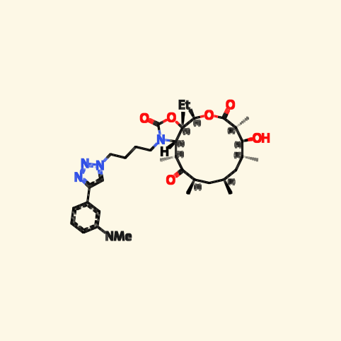 CC[C@H]1OC(=O)[C@H](C)[C@@H](O)[C@H](C)C[C@@H](C)C[C@@H](C)C(=O)[C@H](C)[C@@H]2N(CCCCn3cc(-c4cccc(NC)c4)nn3)C(=O)O[C@@]21C